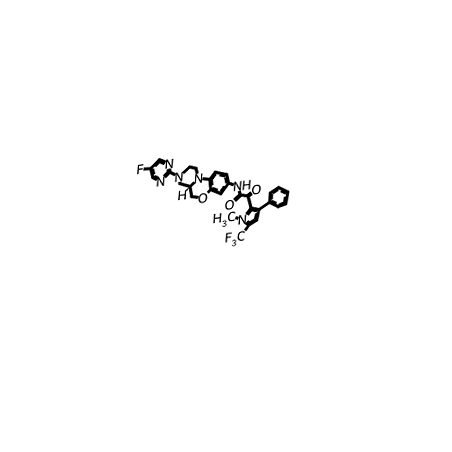 Cn1c(C(F)(F)F)cc(-c2ccccc2)c1C(=O)C(=O)Nc1ccc2c(c1)OC[C@H]1CN(c3ncc(F)cn3)CCN21